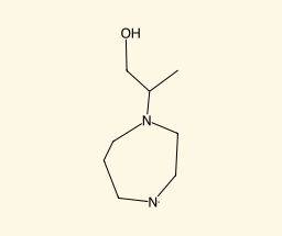 CC(CO)N1CCC[N]CC1